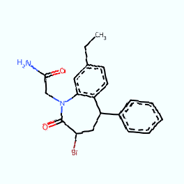 CCc1ccc2c(c1)N(CC(N)=O)C(=O)C(Br)CC2c1ccccc1